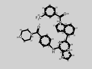 O=C(c1ccc(Nc2nc(-c3cccc4c3ccn4C(=O)c3cccc(C(F)(F)F)c3)cn3ccnc23)cc1)N1CCOCC1